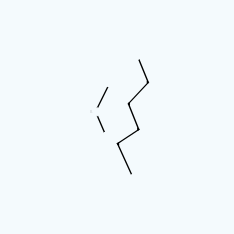 CCCCCC.C[CH2][Al][CH2]C